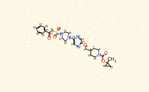 CC1(OC(=O)N2CCC(COc3cnc(N4CCN(S(=O)(=O)CC(=O)c5ccccc5)CC4)cn3)CC2)CC1